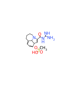 CS(=O)(=O)O.N=C(N)NC(=O)C1=CC2C=CC=C3CCCCN1C32